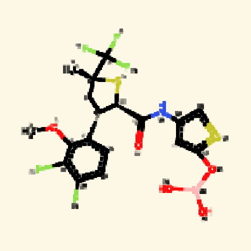 COc1c([C@@H]2C[C@](C)(C(F)(F)F)S[C@H]2C(=O)Nc2csc(OB(O)O)c2)ccc(F)c1F